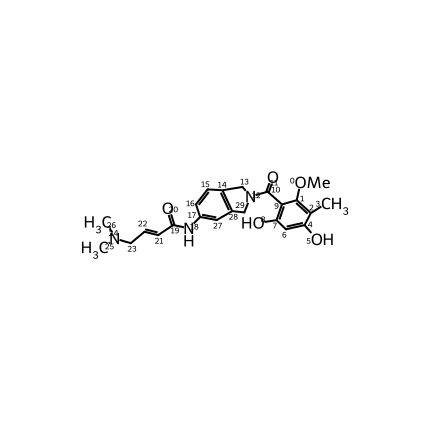 COc1c(C)c(O)cc(O)c1C(=O)N1Cc2ccc(NC(=O)/C=C/CN(C)C)cc2C1